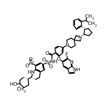 CC(C)c1ccccc1[C@@H]1CCC[C@@H]1N1CC2(CCN(c3ccc(C(=O)NS(=O)(=O)c4cc5c(c([N+](=O)[O-])c4)N[C@@H]([C@H]4CC[C@](C)(O)CC4)CC5)c(Oc4cc5cc[nH]c5nc4F)c3)CC2)C1